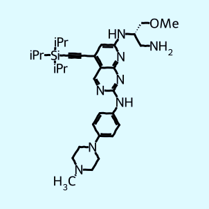 COC[C@H](CN)Nc1cc(C#C[Si](C(C)C)(C(C)C)C(C)C)c2cnc(Nc3ccc(N4CCN(C)CC4)cc3)nc2n1